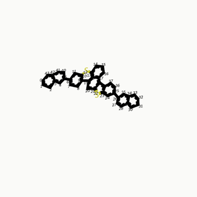 c1ccc2cc(-c3ccc4c(c3)Sc3cccc5c3c-4cc3sc4cc(-c6ccc7ccccc7c6)ccc4c35)ccc2c1